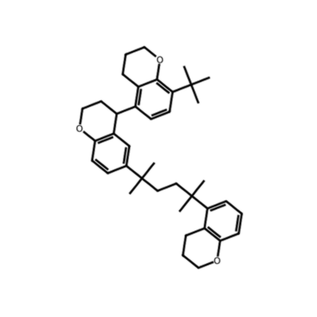 CC(C)(C)c1ccc(C2CCOc3ccc(C(C)(C)CCC(C)(C)c4cccc5c4CCCO5)cc32)c2c1OCCC2